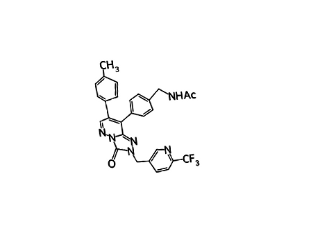 CC(=O)NCc1ccc(-c2c(-c3ccc(C)cc3)cnn3c(=O)n(Cc4ccc(C(F)(F)F)nc4)nc23)cc1